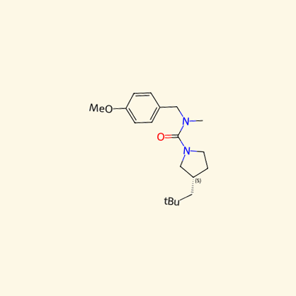 COc1ccc(CN(C)C(=O)N2CC[C@H](CC(C)(C)C)C2)cc1